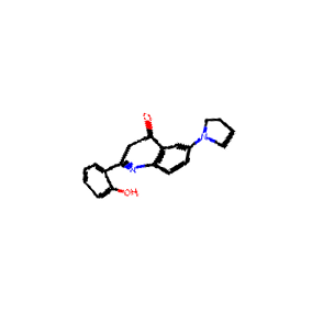 O=C1CC(c2ccccc2O)=Nc2ccc(N3CCCC3)cc21